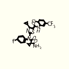 NC(=O)C1(C(=O)N(c2ccc(F)cc2)c2nc(C3CC3)c(C(=O)Nc3cc(C(F)(F)F)ccc3Cl)s2)CC1